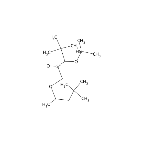 CC(CC(C)(C)C)OC[S+]([O-])C(O[SiH](C)C)C(C)(C)C